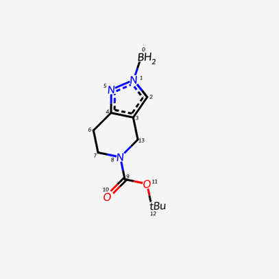 Bn1cc2c(n1)CCN(C(=O)OC(C)(C)C)C2